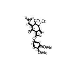 CCOC(=O)C1Cc2csc(Oc3ccc(OC)c(OC)c3)c2C(=O)/C1=C/N(C)C